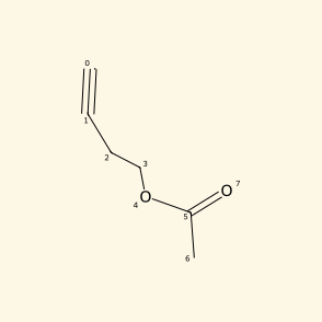 [C]#CCCOC(C)=O